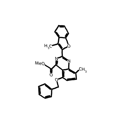 COC(=O)c1nc(-c2oc3ccccc3c2C)nc2c(C)ccc(OCc3ccccc3)c12